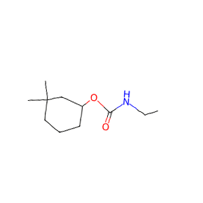 CCNC(=O)OC1CCCC(C)(C)C1